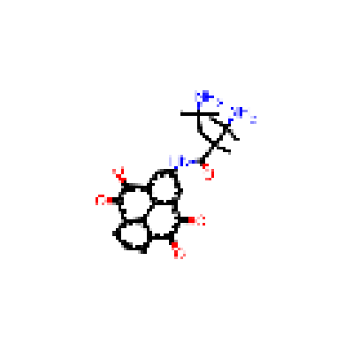 CC(C)(N)CC(C)(C(=O)Nc1cc2c3c(c1)c(=O)c(=O)c1cccc(c1-3)c(=O)c2=O)C(C)(C)N